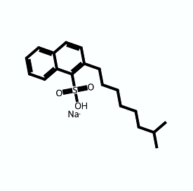 CC(C)CCCCCCc1ccc2ccccc2c1S(=O)(=O)O.[Na]